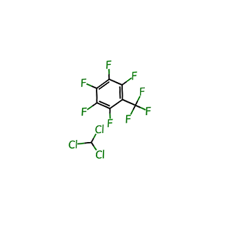 ClC(Cl)Cl.Fc1c(F)c(F)c(C(F)(F)F)c(F)c1F